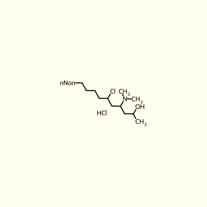 CCCCCCCCCCCCCC(Cl)CC(CC(C)O)N(C)C.Cl